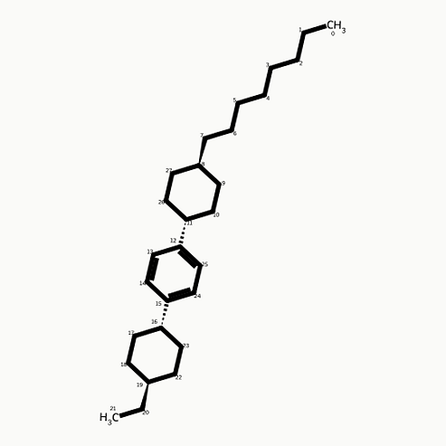 CCCCCCCC[C@H]1CC[C@H](c2ccc([C@H]3CC[C@H](CC)CC3)cc2)CC1